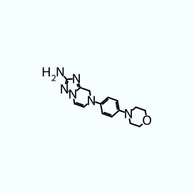 Nc1nc2n(n1)C=CN(c1ccc(N3CCOCC3)cc1)C2